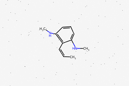 C/C=C\c1c(NC)cccc1NC